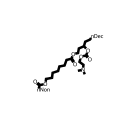 CCCCCCCCCCCCC(CCOC(=O)CCCCCCCOC(=O)CCCCCCCCC)OC(=O)OCCN(C)C